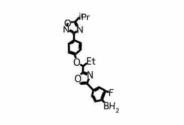 Bc1ccc(-c2coc(C(CC)Oc3ccc(-c4noc(C(C)C)n4)cc3)n2)cc1F